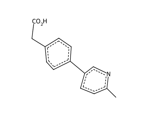 Cc1ccc(-c2ccc(CC(=O)O)cc2)cn1